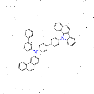 c1ccc(-c2cccc(N(c3ccc(-c4ccc(-n5c6ccccc6c6ccc7ccccc7c65)cc4)cc3)c3ccc4ccc5ccccc5c4c3)c2)cc1